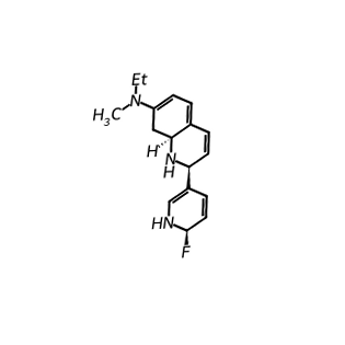 CCN(C)C1=CC=C2C=C[C@@H](C3=CN[C@H](F)C=C3)N[C@H]2C1